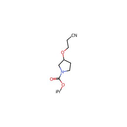 CC(C)OC(=O)N1CCC(OCCC#N)C1